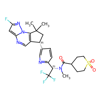 CN(C(=O)C1CCS(=O)(=O)CC1)[C@@H](c1ccc([C@H]2CC(C)(C)c3c2cnc2cc(F)nn32)cn1)C(F)(F)F